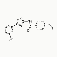 O=C(Nc1nc(-c2cccc(Br)c2)cs1)c1ccc(CI)cc1